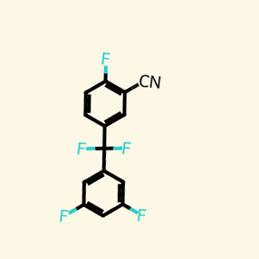 N#Cc1cc(C(F)(F)c2cc(F)cc(F)c2)ccc1F